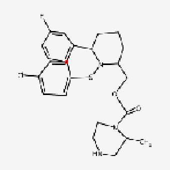 CC1CNCCN1C(=O)OCC1CCCC(c2cccc(F)c2)N1Sc1ccc(Cl)cc1